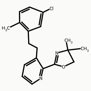 Cc1ccc(Cl)cc1CCc1cccnc1C1=NC(C)(C)CO1